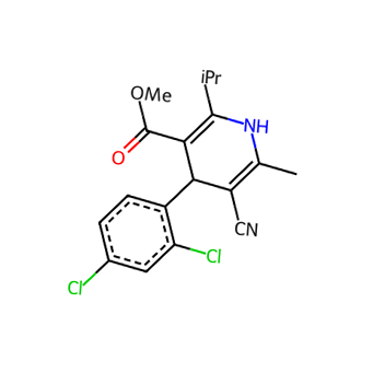 COC(=O)C1=C(C(C)C)NC(C)=C(C#N)C1c1ccc(Cl)cc1Cl